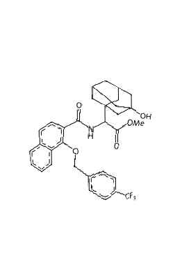 COC(=O)C(NC(=O)c1ccc2ccccc2c1OCc1ccc(C(F)(F)F)cc1)C12CC3CC(CC(O)(C3)C1)C2